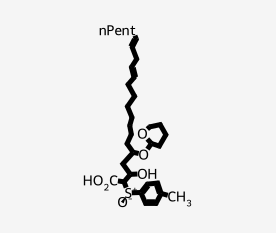 CCCCCC=CCC=CCCCCCCCC(CC(O)C(C(=O)O)[S@+]([O-])c1ccc(C)cc1)OC1CCCCO1